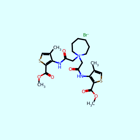 COC(=O)c1scc(C)c1NC(=O)C[N+]1(CC(=O)Nc2c(C)csc2C(=O)OC)CCCCCC1.[Br-]